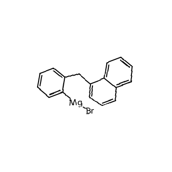 [Br][Mg][c]1ccccc1Cc1cccc2ccccc12